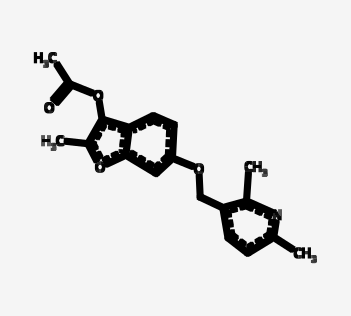 CC(=O)Oc1c(C)oc2cc(OCc3ccc(C)nc3C)ccc12